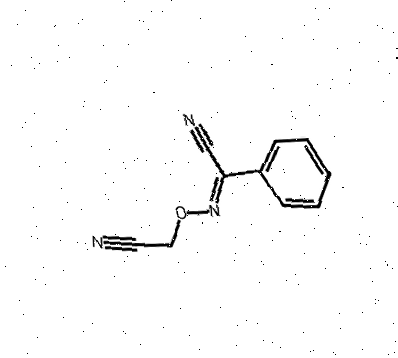 N#CCON=C(C#N)c1ccccc1